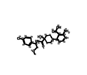 COCC(NC(=O)C1(N)CCN(c2ncnc(N)c2C(=O)O)CC1)c1ccc(Cl)cc1